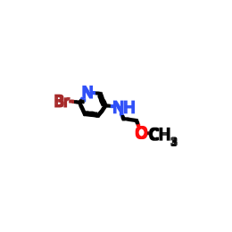 COCCNc1ccc(Br)nc1